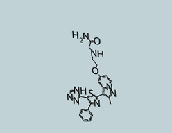 Cc1nn2ccc(OCCNCC(N)=O)cc2c1-c1nc(-c2ccccc2)c(-c2nnc[nH]2)s1